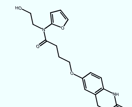 O=C1CCc2cc(OCCCC(=O)N(CCO)c3ccco3)ccc2N1